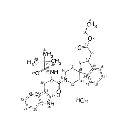 CCOC(=O)CC1CC2(CCN(C(=O)C(Cc3c[nH]c4ccccc34)NC(=O)C(C)(C)N)CC2)c2ccccc21.Cl